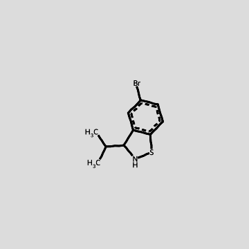 CC(C)C1NSc2ccc(Br)cc21